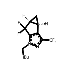 CCC(C)Cn1nc(C(F)(F)F)c2c1C(F)(F)[C@H]1C[C@@H]21